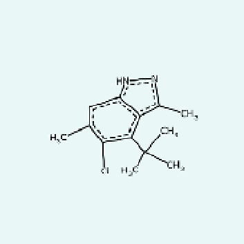 Cc1cc2[nH]nc(C)c2c(C(C)(C)C)c1Cl